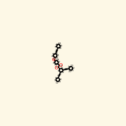 O=C(C(=O)c1cc(C#Cc2ccccc2)cc(C#Cc2ccccc2)c1)c1ccc(Oc2ccc(C#Cc3ccccc3)cc2)cc1